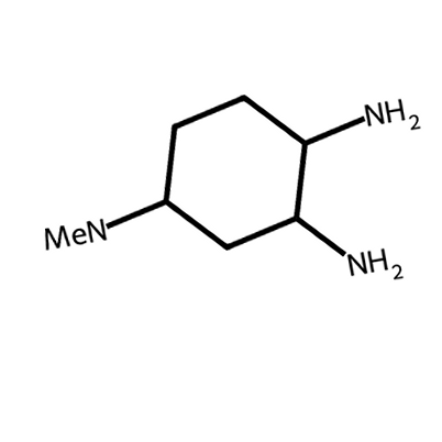 CNC1CCC(N)C(N)C1